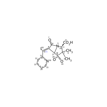 CC1(C)[C@H](C(=O)O)N2C(=O)/C(=C(\I)c3ccccn3)C2S1(=O)=O